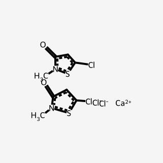 Cn1sc(Cl)cc1=O.Cn1sc(Cl)cc1=O.[Ca+2].[Cl-].[Cl-]